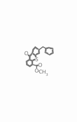 COC(=O)c1cccc2c(=O)c3ccc(Cc4ccccc4)cc3sc12